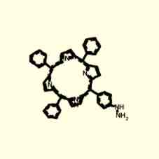 NNc1ccc(-c2c3nc(c(-c4ccccc4)c4ccc([nH]4)c(-c4ccccc4)c4nc(c(-c5ccccc5)c5ccc2[nH]5)C=C4)C=C3)cc1